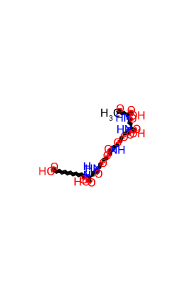 CC(=O)CC[C@H](NC(=O)CC[C@H](NC(=O)COCCOCCNC(=O)COCCOCCNC(=O)CC[C@H](NC(=O)CCCCCCCCCCC(=O)O)C(=O)O)C(=O)O)C(=O)O